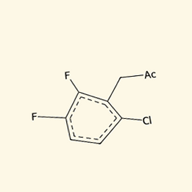 CC(=O)Cc1c(Cl)ccc(F)c1F